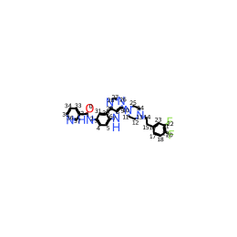 O=C(Nc1ccc2[nH]c3c(N4CCN(CCc5ccc(F)c(F)c5)CC4)ncnc3c2c1)c1cccnc1